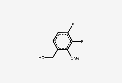 COc1c(CO)ccc(F)c1F